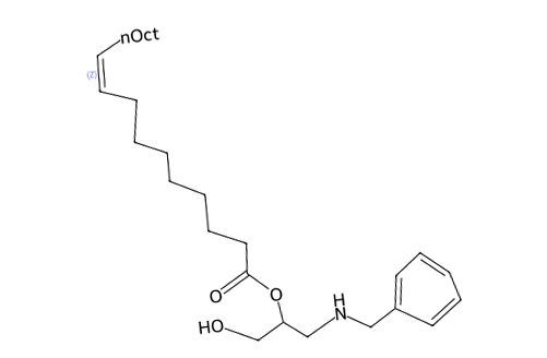 CCCCCCCC/C=C\CCCCCCCC(=O)OC(CO)CNCc1ccccc1